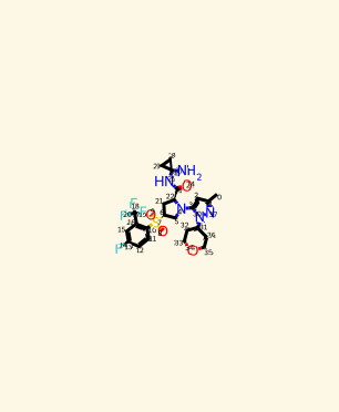 Cc1cc(N2C[C@H](S(=O)(=O)c3ccc(F)cc3C(F)(F)F)C[C@H]2C(=O)NC2(N)CC2)n(C2CCOCC2)n1